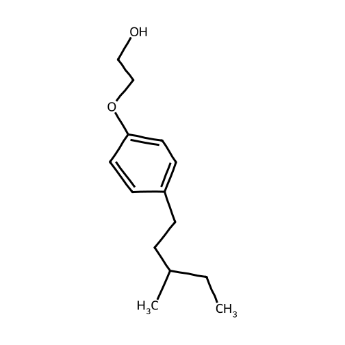 CCC(C)CCc1ccc(OCCO)cc1